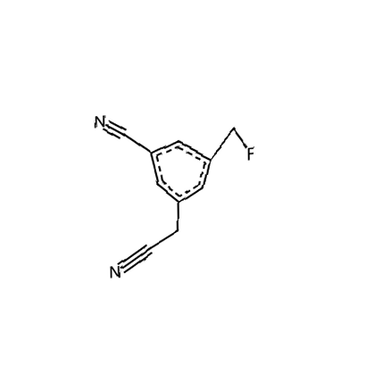 N#CCc1cc(C#N)cc(CF)c1